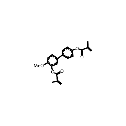 C=C(C)C(=O)Oc1ccc(-c2ccc(OC)c(OC(=O)C(=C)C)c2)cc1